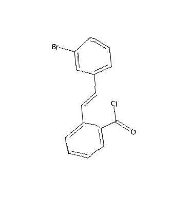 O=C(Cl)c1ccccc1C=Cc1cccc(Br)c1